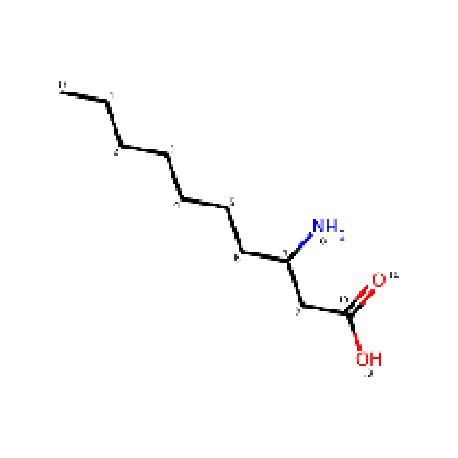 CCCCCCCC(N)CC(=O)O